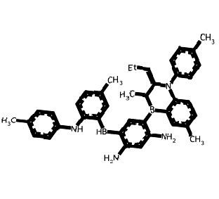 CC/C=C1\C(C)B(c2cc(Bc3cc(C)ccc3Nc3ccc(C)cc3)c(N)cc2N)c2cc(C)ccc2N1c1ccc(C)cc1